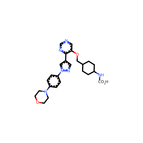 O=C(O)NC1CCC(COc2cncnc2-c2cnn(-c3ccc(N4CCOCC4)cc3)c2)CC1